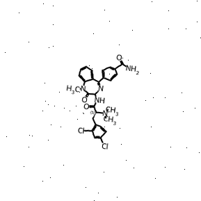 CN1C(=O)C(NC(=O)[C@H](Cc2ccc(Cl)cc2Cl)N(C)C)N=C(c2ccc(C(N)=O)cc2)c2ccccc21